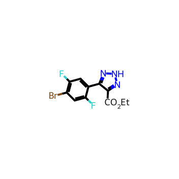 CCOC(=O)c1n[nH]nc1-c1cc(F)c(Br)cc1F